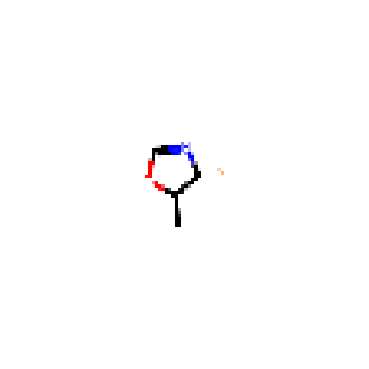 CC1CN=CO1.[P]